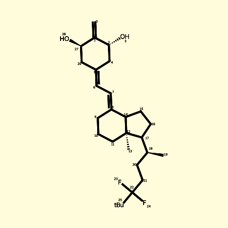 C=C1[C@H](O)CC(=C/C=C2\CCC[C@@]3(C)C2CCC3[C@@H](C)CCC(F)(F)C(C)(C)C)C[C@H]1O